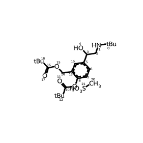 CC(C)(C)NCC(O)c1ccc(OC(=O)C(C)(C)C)c(COC(=O)C(C)(C)C)c1.CS(=O)(=O)O